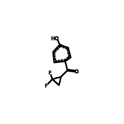 O=C(c1ccc(O)cc1)C1CC1(F)F